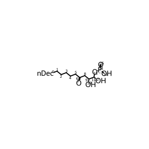 CCCCCCCCCCCCCCCC(=O)CC(O)C(O)O[P](=O)O